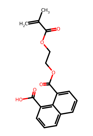 C=C(C)C(=O)OCCOC(=O)c1cccc2cccc(C(=O)O)c12